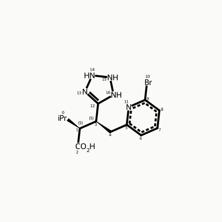 CC(C)[C@H](C(=O)O)[C@H](Cc1cccc(Br)n1)C1=NNNN1